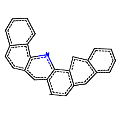 [c]1cc2cc3ccccc3cc2c2nc3c(ccc4ccccc43)cc12